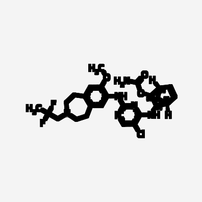 COc1cc2c(cc1Nc1ncc(Cl)c(N[C@H]3[C@@H](OC(N)=O)[C@@H]4C=C[C@H]3C4)n1)CCN(CC(C)(F)F)CC2